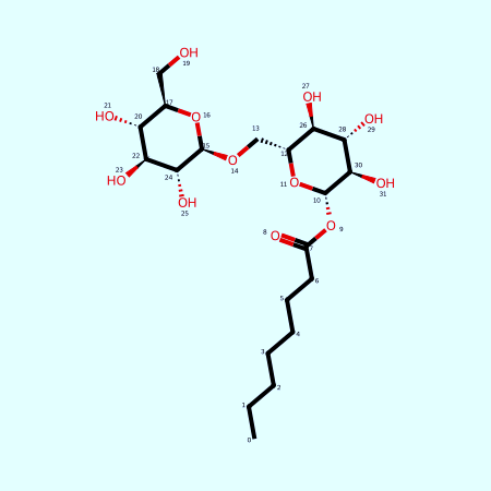 CCCCCCCC(=O)O[C@@H]1O[C@H](CO[C@@H]2O[C@H](CO)[C@@H](O)[C@H](O)[C@H]2O)[C@@H](O)[C@H](O)[C@H]1O